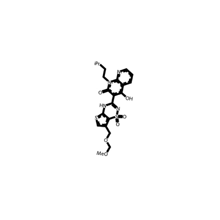 COCOCc1csc2c1S(=O)(=O)N=C(c1c(O)c3cccnc3n(CCC(C)C)c1=O)N2